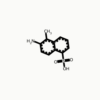 Cc1c(N)ccc2c(S(=O)(=O)O)cccc12